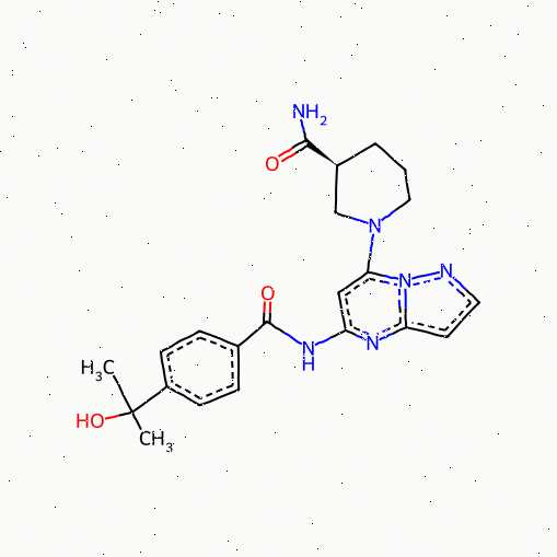 CC(C)(O)c1ccc(C(=O)Nc2cc(N3CCC[C@H](C(N)=O)C3)n3nccc3n2)cc1